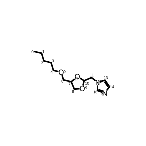 CCCCCOCC1COC(Cn2ccnc2)O1